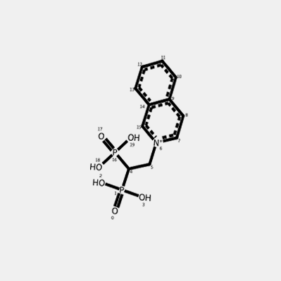 O=P(O)(O)C(C[n+]1ccc2ccccc2c1)P(=O)(O)O